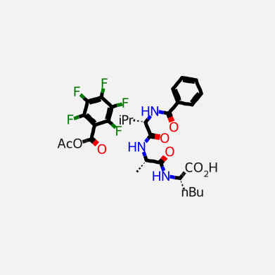 CC(=O)OC(=O)c1c(F)c(F)c(F)c(F)c1F.CCCC[C@H](NC(=O)[C@H](C)NC(=O)[C@@H](NC(=O)c1ccccc1)C(C)C)C(=O)O